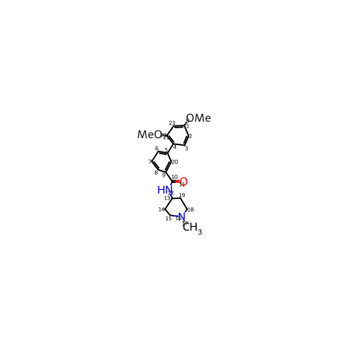 COc1ccc(-c2cccc(C(=O)NC3CCN(C)CC3)c2)c(OC)c1